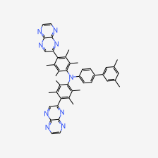 Cc1cc(C)cc(-c2ccc(N(c3c(C)c(C)c(-c4cnc5nccnc5n4)c(C)c3C)c3c(C)c(C)c(-c4cnc5nccnc5n4)c(C)c3C)cc2)c1